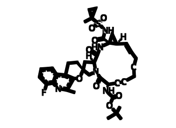 Cc1nc2c(F)cccc2c2c1O[C@]1(CC2)C[C@H]2C(=O)N[C@]3(C(=O)NS(=O)(=O)C4(C)CC4)C[C@H]3/C=C\CCCCC[C@H](NC(=O)OC(C)(C)C)C(=O)N2C1